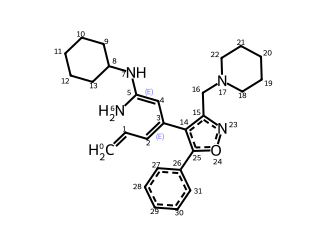 C=C/C=C(\C=C(/N)NC1CCCCC1)c1c(CN2CCCCC2)noc1-c1ccccc1